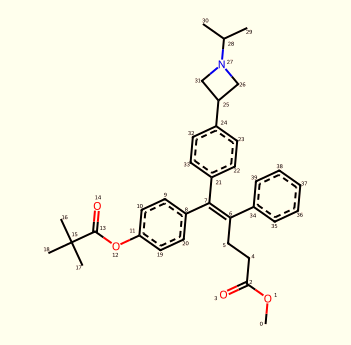 COC(=O)CC/C(=C(\c1ccc(OC(=O)C(C)(C)C)cc1)c1ccc(C2CN(C(C)C)C2)cc1)c1ccccc1